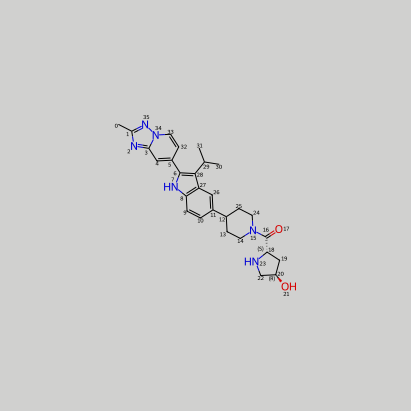 Cc1nc2cc(-c3[nH]c4ccc(C5CCN(C(=O)[C@@H]6C[C@@H](O)CN6)CC5)cc4c3C(C)C)ccn2n1